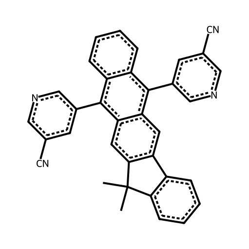 CC1(C)c2ccccc2-c2cc3c(-c4cncc(C#N)c4)c4ccccc4c(-c4cncc(C#N)c4)c3cc21